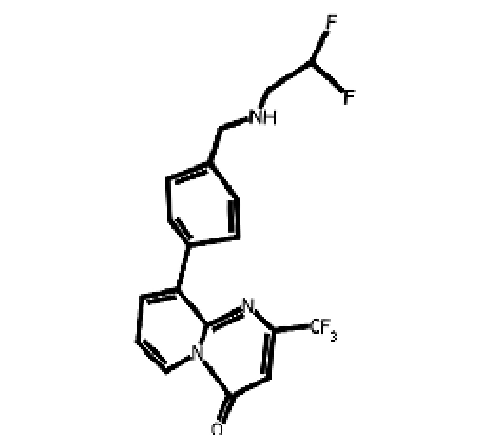 O=c1cc(C(F)(F)F)nc2c(-c3ccc(CNCC(F)F)cc3)cccn12